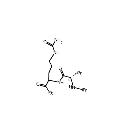 CCC(=O)C(CCCNC(N)=O)NC(=O)[C@@H](NC(C)C)C(C)C